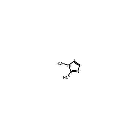 N#Cc1nccn1N